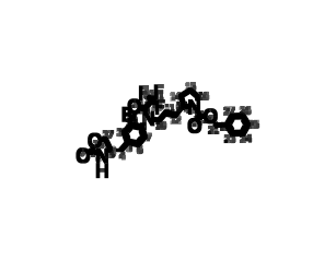 O=C1N[C@@H](Cc2ccc(N(CC=C[C@H]3CCCN3C(=O)OCc3ccccc3)C(=O)C(F)(F)F)c(Br)c2)CO1